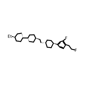 CC[C@H]1CC[C@H]([C@H]2CC[C@H](CC[C@H]3CC[C@H](c4ccc(CCF)c(F)c4)CC3)CC2)CC1